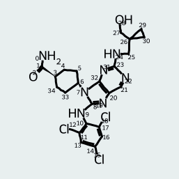 NC(=O)[C@H]1CC[C@@H](n2c(Nc3c(Cl)cc(Cl)cc3Cl)nc3cnc(NCC4(CO)CC4)nc32)CC1